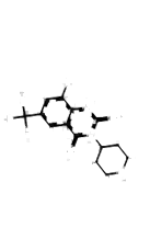 O=c1[nH]c2c(Br)cc(C(F)(F)F)cc2c(=O)n1C1CCOCC1